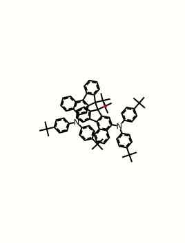 CC(C)(C)c1ccc(N(c2ccc(C(C)(C)C)cc2)c2cc3c(c4ccccc24)-c2ccccc2C3(C(C)(C)C)C2(C(C)(C)C)c3ccccc3-c3c2cc(N(c2ccc(C(C)(C)C)cc2)c2ccc(C(C)(C)C)cc2)c2ccccc32)cc1